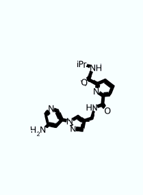 CC(C)NC(=O)c1cccc(C(=O)NCc2cnn(-c3cncc(N)c3)c2)n1